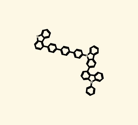 c1ccc(-n2c3ccccc3c3c(-c4ccc5c6ccccc6n(-c6ccc(-c7ccc(-c8ccc(-c9cccc%10sc%11ccccc%11c9%10)cc8)cc7)cc6)c5c4)cccc32)cc1